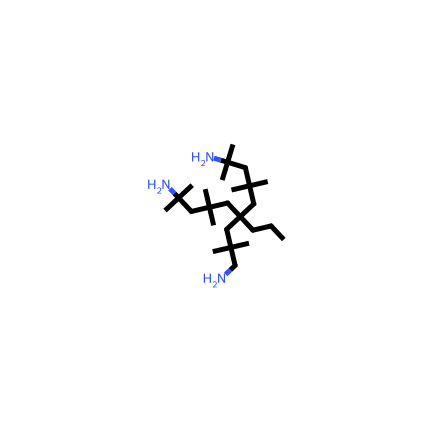 CCCC(CC(C)(C)CN)(CC(C)(C)CC(C)(C)N)CC(C)(C)CC(C)(C)N